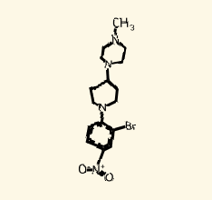 CN1CCN(C2CCN(c3ccc([N+](=O)[O-])cc3Br)CC2)CC1